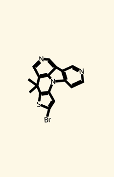 CC1(C)c2sc(Br)cc2-n2c3ccncc3c3cncc1c32